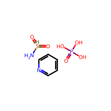 N[SH](=O)=O.O=P(O)(O)O.c1ccncc1